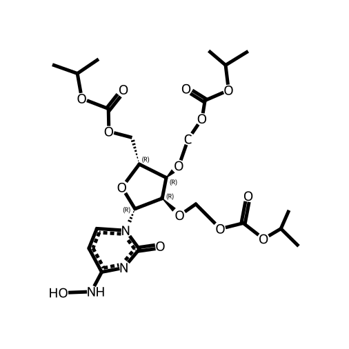 CC(C)OC(=O)OCO[C@@H]1[C@H](OCOC(=O)OC(C)C)[C@@H](COC(=O)OC(C)C)O[C@H]1n1ccc(NO)nc1=O